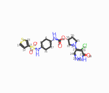 O=C(N[C@H]1CC[C@H](NS(=O)(=O)c2ccsc2)CC1)O[C@@H]1CCN(c2cn[nH]c(=O)c2Cl)C1